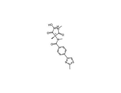 CNC(=O)[C@@](C)(C(=O)NO)N(C)C(=O)c1ccc(-c2csc(C)n2)cc1